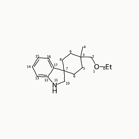 CCOCC1(C)CCC2(CC1)CNc1ccccc12